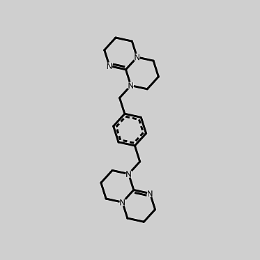 c1cc(CN2CCCN3CCCN=C32)ccc1CN1CCCN2CCCN=C21